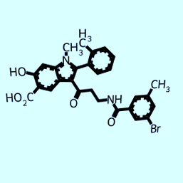 Cc1cc(Br)cc(C(=O)NCCC(=O)c2c(-c3ccccc3C)n(C)c3cc(O)c(C(=O)O)cc23)c1